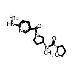 CN(C(=O)[C@@H]1CCCO1)[C@H]1CCN(C(=O)c2ccc(NC(C)(C)C)nc2)C1